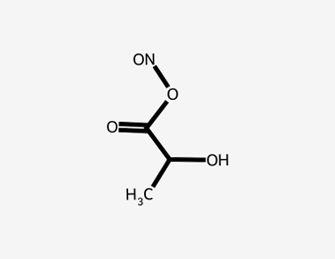 CC(O)C(=O)ON=O